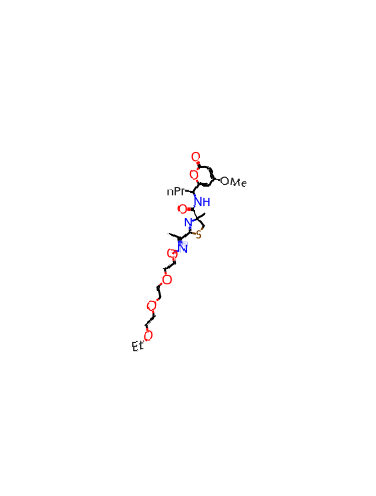 CCCC(NC(=O)C1(C)CSC(/C(C)=N/OCCOCCOCCOCC)=N1)c1cc(OC)cc(=O)o1